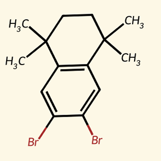 CC1(C)CCC(C)(C)c2cc(Br)c(Br)cc21